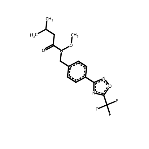 CON(Cc1ccc(-c2noc(C(F)(F)F)n2)cc1)C(=O)CC(C)C